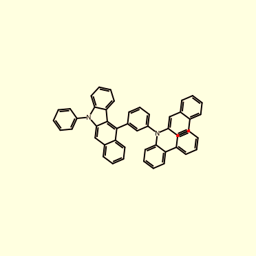 c1ccc(-c2ccccc2N(c2cccc(-c3c4ccccc4cc4c3c3ccccc3n4-c3ccccc3)c2)c2ccc3ccccc3c2)cc1